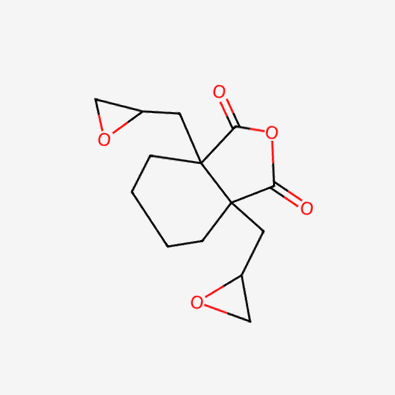 O=C1OC(=O)C2(CC3CO3)CCCCC12CC1CO1